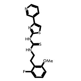 COc1cccc(F)c1CCNC(=S)Nc1nc(-c2cccnc2)cs1